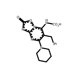 CC(C)Cc1c(N2CCCCC2)nc2nc(=O)on2c1NC(=O)O